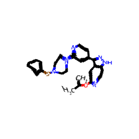 CC(C)Oc1cc2c(-c3ccnc(N4CCN(Sc5ccccc5)CC4)c3)n[nH]c2cn1